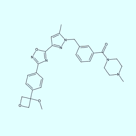 COC1(c2ccc(-c3noc(-c4cc(C)n(Cc5cccc(C(=O)N6CCN(C)CC6)c5)n4)n3)cc2)COC1